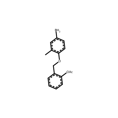 Bc1ccc(OCc2ccccc2OC(C)=O)c(C)c1